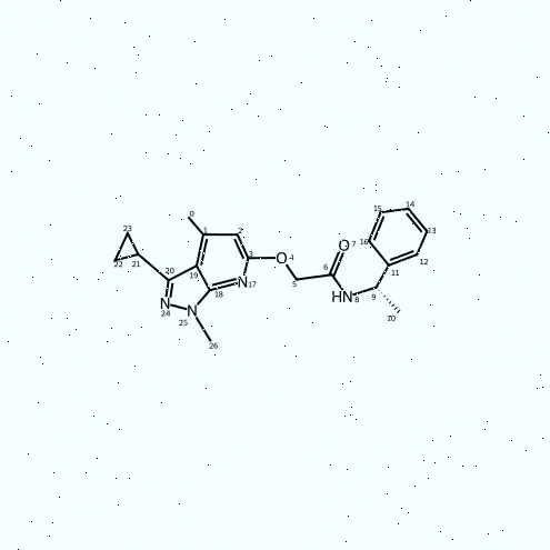 Cc1cc(OCC(=O)N[C@@H](C)c2ccccc2)nc2c1c(C1CC1)nn2C